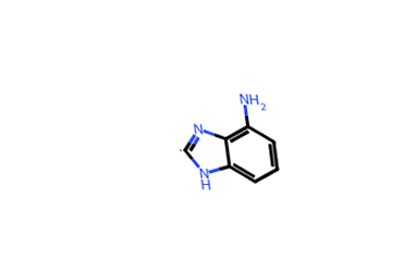 Nc1cccc2[nH][c]nc12